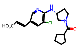 O=C(O)C=Cc1cnc(N[C@@H]2CCN(C(=O)C3CCCC3)C2)c(Cl)c1